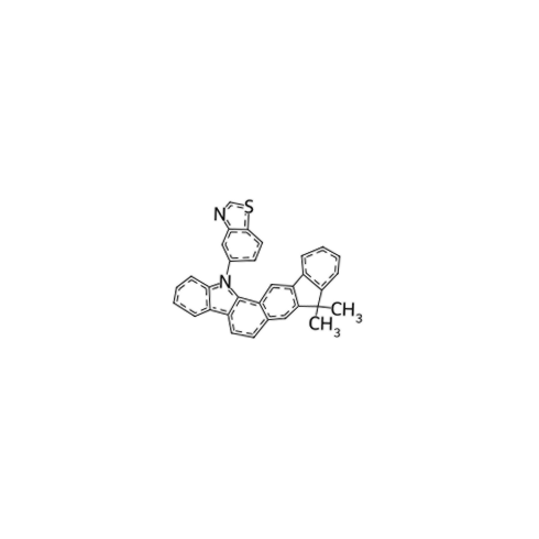 CC1(C)c2ccccc2-c2cc3c(ccc4c5ccccc5n(-c5ccc6scnc6c5)c34)cc21